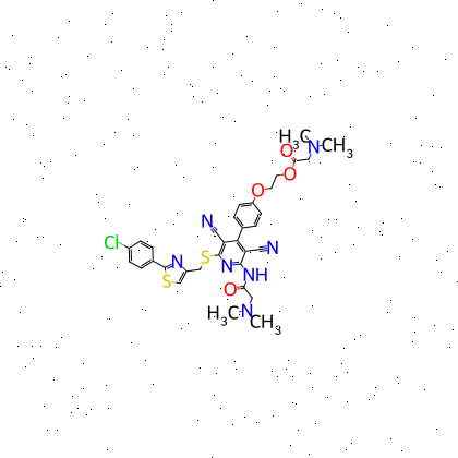 CN(C)CC(=O)Nc1nc(SCc2csc(-c3ccc(Cl)cc3)n2)c(C#N)c(-c2ccc(OCCOC(=O)CN(C)C)cc2)c1C#N